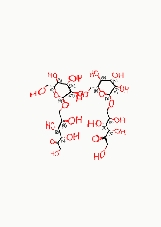 O=C(CO)[C@@H](O)[C@H](O)[C@H](O)CO[C@H]1O[C@H](CO)[C@@H](O)[C@H](O)[C@H]1O.O=C(CO)[C@@H](O)[C@H](O)[C@H](O)CO[C@H]1O[C@H](CO)[C@@H](O)[C@H](O)[C@H]1O